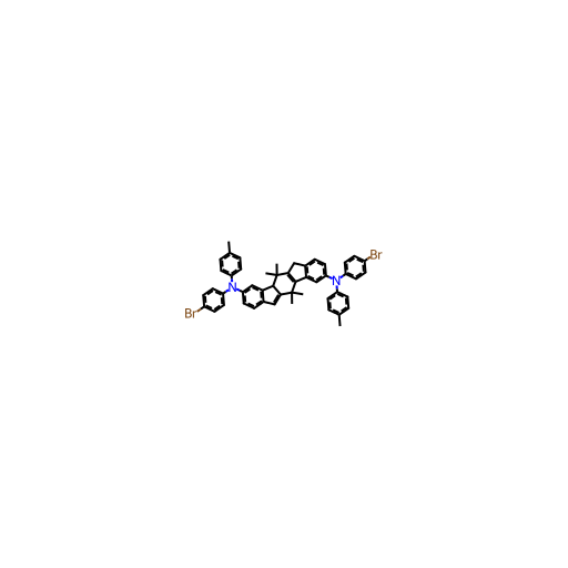 Cc1ccc(N(c2ccc(Br)cc2)c2ccc3c(c2)C2=C(C3)C(C)(C)C3C(=Cc4ccc(N(c5ccc(C)cc5)c5ccc(Br)cc5)cc43)C2(C)C)cc1